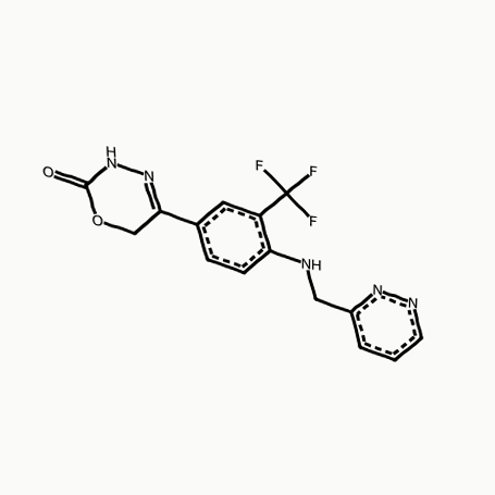 O=C1NN=C(c2ccc(NCc3cccnn3)c(C(F)(F)F)c2)CO1